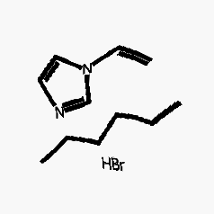 Br.C=Cn1ccnc1.CCCCCC